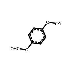 CCCOc1ccc(OC=O)cc1